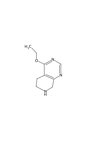 CCOc1ncnc2c1CCNC2